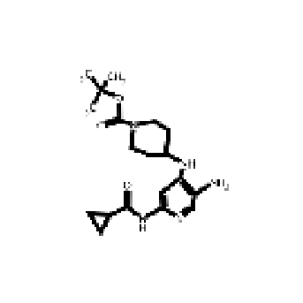 CC(C)(C)OC(=O)N1CCC(Nc2cc(NC(=O)C3CC3)ncc2N)CC1